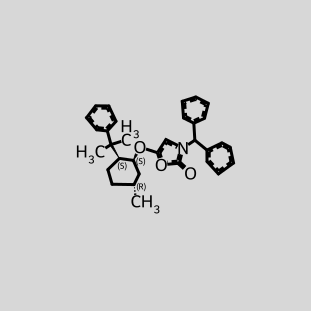 C[C@@H]1CC[C@@H](C(C)(C)c2ccccc2)[C@@H](Oc2cn(C(c3ccccc3)c3ccccc3)c(=O)o2)C1